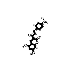 COc1cc(OC)c2cc(C(=O)/C=C/c3ccc(N(C)C)cc3)c(=O)oc2c1